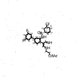 COCCN/C=C(\C=N)c1ccc(-c2cc(F)cc(F)c2)cc1N[S+]([O-])C1C=CCC(C(F)(F)F)C1